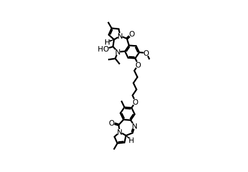 COc1cc2c(cc1OCCCCCOc1cc3c(cc1C)C(=O)N1CC(C)=C[C@H]1C=N3)N(C(C)C)C(O)[C@@H]1C=C(C)CN1C2=O